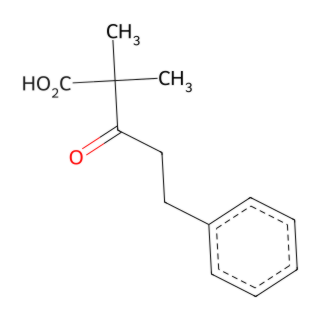 CC(C)(C(=O)O)C(=O)CCc1ccccc1